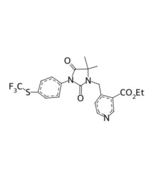 CCOC(=O)c1cnccc1CN1C(=O)N(c2ccc(SC(F)(F)F)cc2)C(=O)C1(C)C